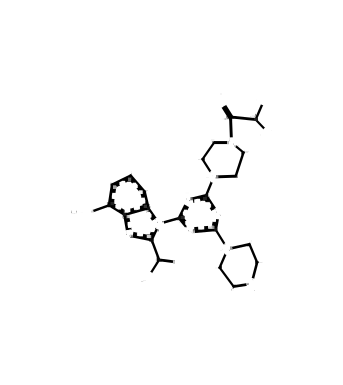 COc1cccc2c1nc(C(F)F)n2-c1nc(N2CCOCC2)nc(N2CCN(C(=O)C(Cl)Cl)CC2)n1